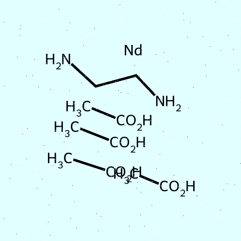 CC(=O)O.CC(=O)O.CC(=O)O.CC(=O)O.NCCN.[Nd]